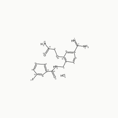 Cl.N=C(N)c1ccc(CNC(=O)c2cccc(F)c2)c(OCC(N)=O)c1